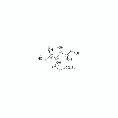 CCOC(=O)CC(C)C.OC[C@@H](O)[C@@H](O)[C@H](O)[C@H](O)CO